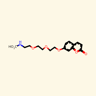 O=C(O)NCCOCCOCCOc1ccc2ccc(=O)oc2c1